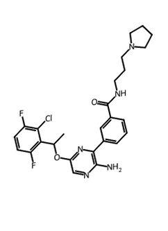 CC(Oc1cnc(N)c(-c2cccc(C(=O)NCCCN3CCCC3)c2)n1)c1c(F)ccc(F)c1Cl